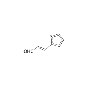 O=[C]C=Cc1cccs1